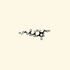 CCOC(=O)NC(=S)Nc1[nH]nc(CO)c1Br